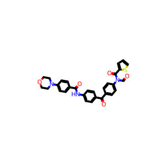 O=CN(C(=O)c1cccs1)c1ccc(C(=O)c2ccc(NC(=O)c3ccc(N4CCOCC4)cc3)cc2)cc1